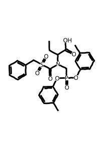 CCC(C(=O)O)N(CP(=O)(Oc1cccc(C)c1)Oc1cccc(C)c1)C(=O)S(=O)(=O)Cc1ccccc1